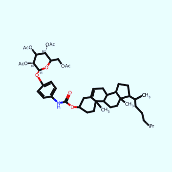 CC(=O)OCC1O[C@@H](Oc2ccc(NC(=O)OC3CCC4(C)C(=CCC5C4CCC4(C)C(C(C)CCCC(C)C)CCC54)C3)cc2)[C@@H](OC(C)=O)C(OC(C)=O)[C@@H]1OC(C)=O